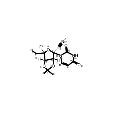 CC1(C)O[C@@H]2[C@H](O1)[C@@](F)(CI)O[C@@]2(C#N)n1ccc(=O)[nH]c1=O